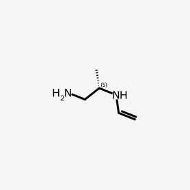 C=CN[C@@H](C)CN